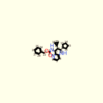 O=C(N[C@H]1c2ncccc2N[C@@H](C2CCCC2)[C@@H]1C1CC1)OCc1ccccc1